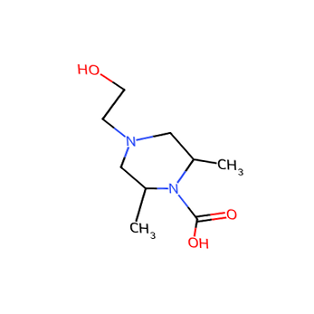 CC1CN(CCO)CC(C)N1C(=O)O